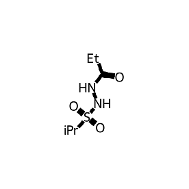 CCC(=O)NNS(=O)(=O)C(C)C